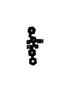 O=C(Nc1ccc(C2CCCCC2)cc1)C1C(=O)N(Cc2ccccc2)CC1O